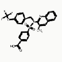 Cc1cc2ccccc2nc1N(Cc1ccc(OC(F)(F)F)cc1)S(=O)(=O)c1ccc(C(=O)O)cc1